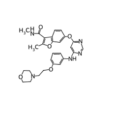 CNC(=O)c1c(C)oc2cc(Oc3cc(Nc4cccc(OCCN5CCOCC5)c4)ncn3)ccc12